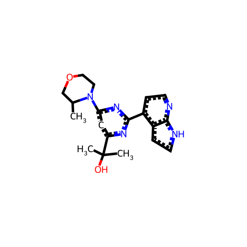 CC1COCCN1c1cc(C(C)(C)O)nc(-c2ccnc3[nH]ccc23)n1